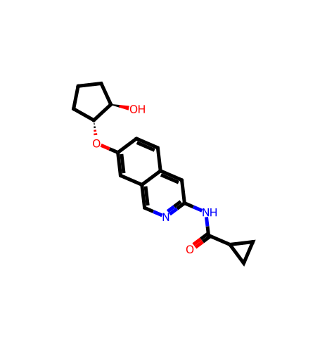 O=C(Nc1cc2ccc(O[C@@H]3CCC[C@H]3O)cc2cn1)C1CC1